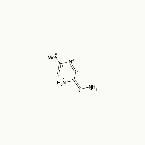 C=C(/N=C\C(N)=C/N)SC